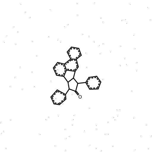 O=C1C(c2ccccc2)C2c3cccc4c3c(cc3ccccc34)C2C1c1ccccc1